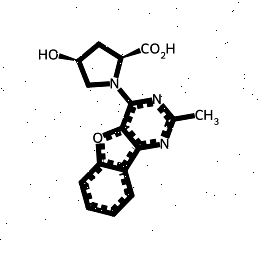 Cc1nc(N2C[C@@H](O)C[C@H]2C(=O)O)c2oc3ccccc3c2n1